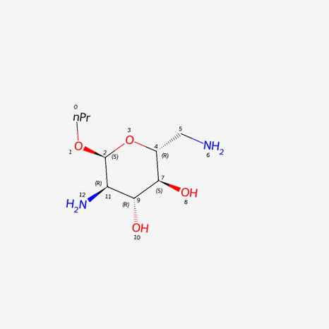 CCCO[C@H]1O[C@H](CN)[C@@H](O)[C@H](O)[C@H]1N